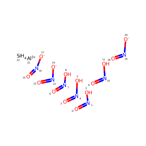 O=NO.O=NO.O=NO.O=NO.O=N[O-].O=N[O-].O=N[O-].[Al+3].[SiH4]